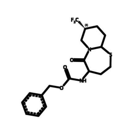 O=C(NC1CCSC2CC[C@@H](C(F)(F)F)CN2C1=O)OCc1ccccc1